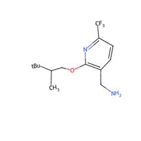 CC(COc1nc(C(F)(F)F)ccc1CN)C(C)(C)C